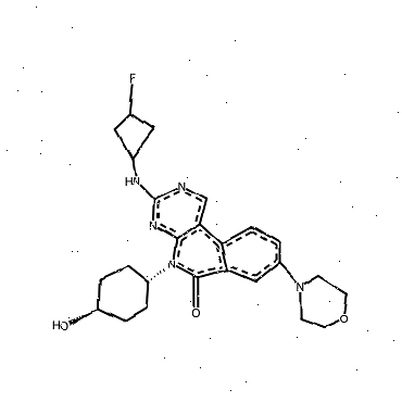 O=c1c2cc(N3CCOCC3)ccc2c2cnc(NC3CC(F)C3)nc2n1[C@H]1CC[C@H](O)CC1